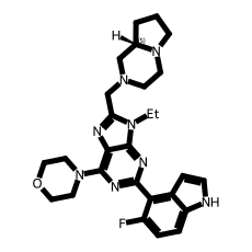 CCn1c(CN2CCN3CCC[C@H]3C2)nc2c(N3CCOCC3)nc(-c3c(F)ccc4[nH]ccc34)nc21